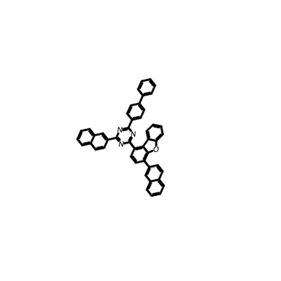 c1ccc(-c2ccc(-c3nc(-c4ccc5ccccc5c4)nc(-c4ccc(-c5ccc6ccccc6c5)c5oc6ccccc6c45)n3)cc2)cc1